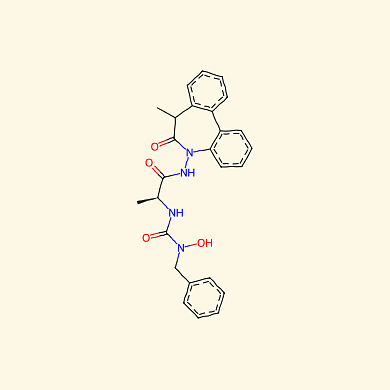 CC1C(=O)N(NC(=O)[C@H](C)NC(=O)N(O)Cc2ccccc2)c2ccccc2-c2ccccc21